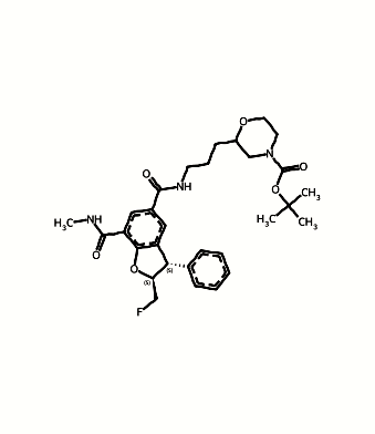 CNC(=O)c1cc(C(=O)NCCCC2CN(C(=O)OC(C)(C)C)CCO2)cc2c1O[C@H](CF)[C@H]2c1ccccc1